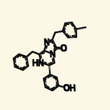 Cc1ccc(Cc2nc3c(Cc4ccccc4)[nH]c(-c4cccc(O)c4)cn-3c2=O)cc1